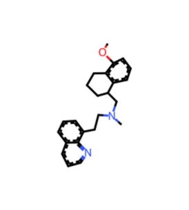 COc1cccc2c1CCCC2CN(C)CCc1cccc2cccnc12